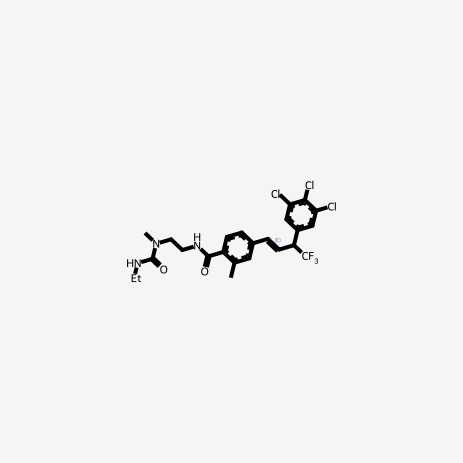 CCNC(=O)N(C)CCNC(=O)c1ccc(/C=C/C(c2cc(Cl)c(Cl)c(Cl)c2)C(F)(F)F)cc1C